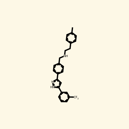 Cc1ccc(CCNCc2ccc(-c3cc(-c4cccc(C(F)(F)F)c4)[nH]n3)cc2)cc1